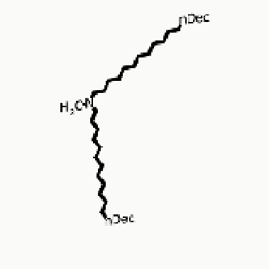 CCCCCCCCCCCCCCCCCCCCCCN(C)CCCCCCCCCCCCCCCCCCCCCC